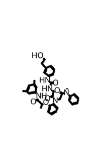 Cc1cc(C)cc(NC(=O)C(C)Oc2ccccc2N(CC(=O)N(C)c2ccccc2)C(=O)CNC(=O)Nc2cccc(CCO)c2)c1